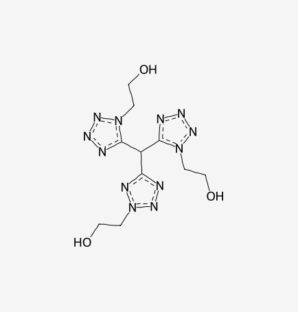 OCCn1nnc(C(c2nnnn2CCO)c2nnnn2CCO)n1